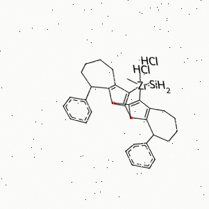 CC1=[C]([Zr]([CH3])([CH3])(=[SiH2])[C]2=C(C)CC3=C2CCCCC3c2ccccc2)C2=C(C1)C(c1ccccc1)CCCC2.Cl.Cl